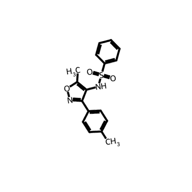 Cc1ccc(-c2noc(C)c2NS(=O)(=O)c2ccccc2)cc1